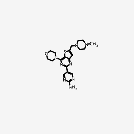 CN1CCN(Cc2cc3nc(-c4cnc(N)nc4)nc(N4CCOCC4)c3s2)CC1